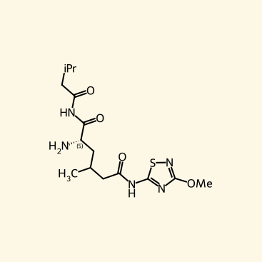 COc1nsc(NC(=O)CC(C)C[C@H](N)C(=O)NC(=O)CC(C)C)n1